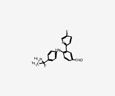 CC(F)(P)c1ccc(Nc2ccc(C=O)cc2-c2ccc(F)cn2)cc1